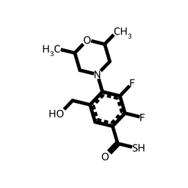 CC1CN(c2c(CO)cc(C(=O)S)c(F)c2F)CC(C)O1